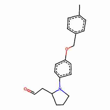 Cc1ccc(COc2ccc(N3CCCC3CC=O)cc2)cc1